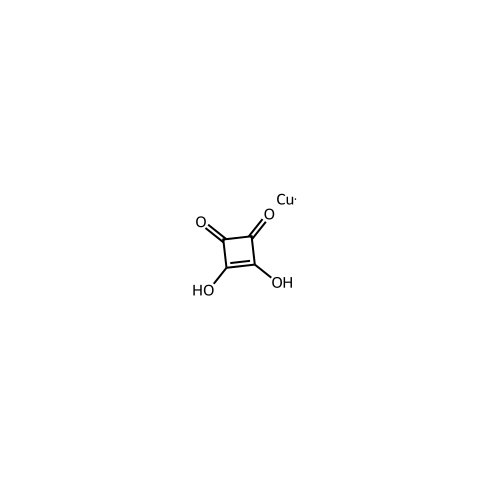 O=c1c(O)c(O)c1=O.[Cu]